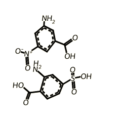 Nc1cc(C(=O)O)cc([N+](=O)[O-])c1.Nc1cc(S(=O)(=O)O)ccc1C(=O)O